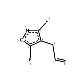 C=CCc1c(F)noc1F